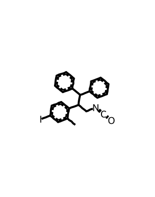 Cc1cc(I)ccc1C(CN=C=O)C(c1ccccc1)c1ccccc1